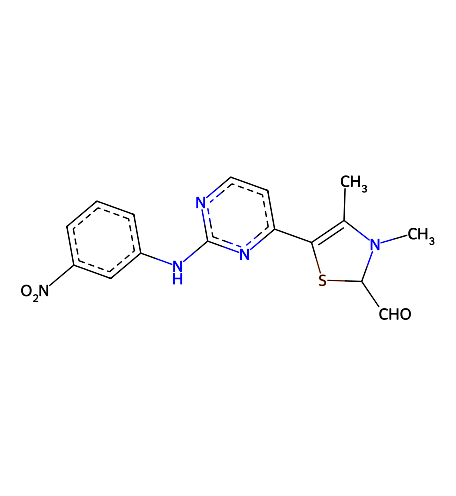 CC1=C(c2ccnc(Nc3cccc([N+](=O)[O-])c3)n2)SC(C=O)N1C